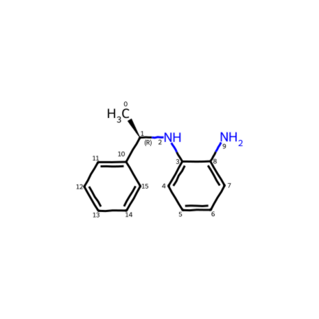 C[C@@H](Nc1ccccc1N)c1ccccc1